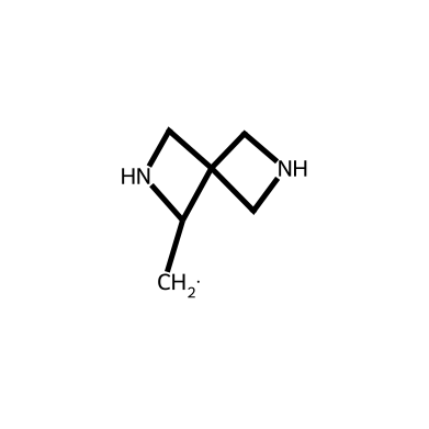 [CH2]C1NCC12CNC2